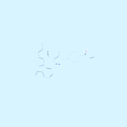 C=CC(=O)N1CCC(n2nc(-c3ccc4[nH]ncc4c3)c(-c3c(Cl)c(C)cc4[nH]ncc34)c2C)CC1